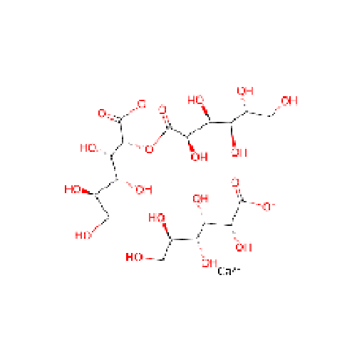 O=C(O[C@@H](C(=O)[O-])[C@@H](O)[C@H](O)[C@H](O)CO)[C@H](O)[C@@H](O)[C@H](O)[C@H](O)CO.O=C([O-])[C@H](O)[C@@H](O)[C@H](O)[C@H](O)CO.[Ca+2]